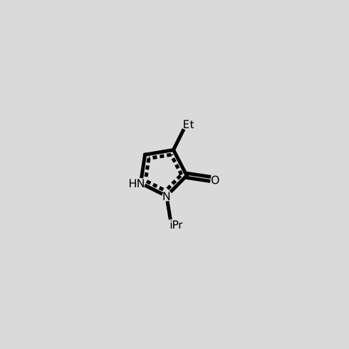 CCc1c[nH]n(C(C)C)c1=O